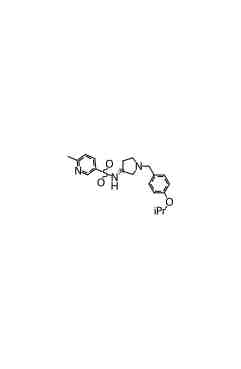 Cc1ccc(S(=O)(=O)N[C@@H]2CCN(Cc3ccc(OC(C)C)cc3)C2)cn1